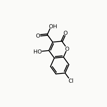 O=C(O)c1c(O)c2ccc(Cl)cc2oc1=O